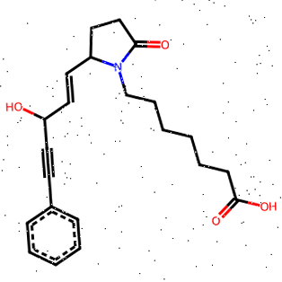 O=C(O)CCCCCCN1C(=O)CCC1C=CC(O)C#Cc1ccccc1